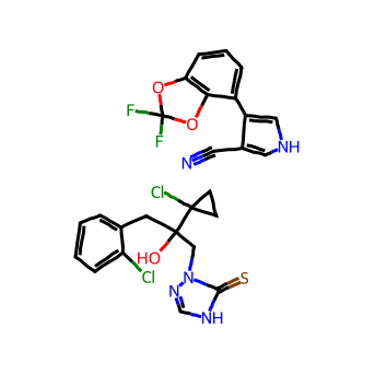 N#Cc1c[nH]cc1-c1cccc2c1OC(F)(F)O2.OC(Cc1ccccc1Cl)(Cn1nc[nH]c1=S)C1(Cl)CC1